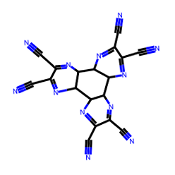 N#CC1=NC2C3N=C(C#N)C(C#N)=NC3C3N=C(C#N)C(C#N)=NC3C2N=C1C#N